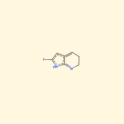 Ic1cc2c([nH]1)=NCCC=2